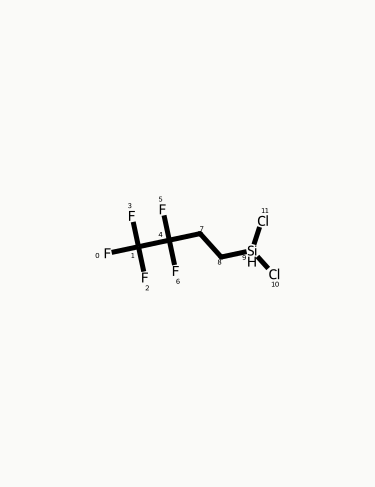 FC(F)(F)C(F)(F)CC[SiH](Cl)Cl